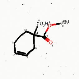 CCCCOC(=O)C1(C(=O)O)CC=CCC1